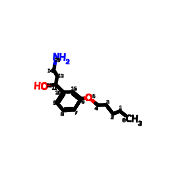 CCCCCOc1cccc(C(O)CCN)c1